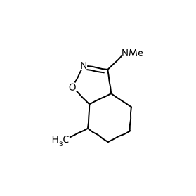 CNC1=NOC2C(C)CCCC12